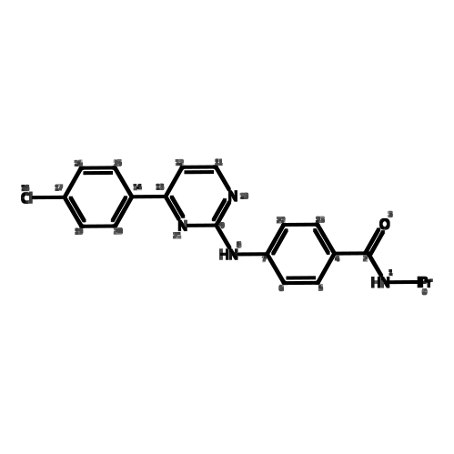 CC(C)NC(=O)c1ccc(Nc2nccc(-c3ccc(Cl)cc3)n2)cc1